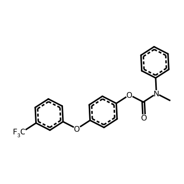 CN(C(=O)Oc1ccc(Oc2cccc(C(F)(F)F)c2)cc1)c1ccccc1